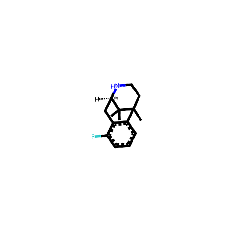 CC12CCN[C@H](Cc3c(F)cccc31)C2(C)C